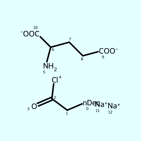 CCCCCCCCCCCC(=O)Cl.NC(CCC(=O)[O-])C(=O)[O-].[Na+].[Na+]